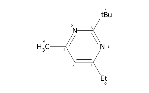 CCc1cc(C)nc(C(C)(C)C)n1